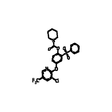 O=C(Oc1ccc(Oc2ncc(C(F)(F)F)cc2Cl)cc1S(=O)(=O)c1ccccc1)N1CCCCC1